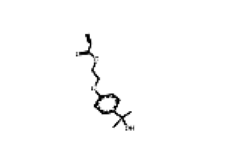 C=CC(=O)OCCOc1ccc(C(C)(C)O)cc1